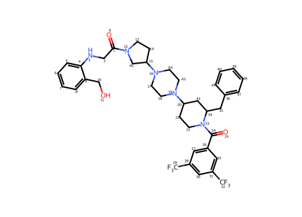 O=C(CNc1ccccc1CO)N1CCC(N2CCN(C3CCN(C(=O)c4cc(C(F)(F)F)cc(C(F)(F)F)c4)C(Cc4ccccc4)C3)CC2)C1